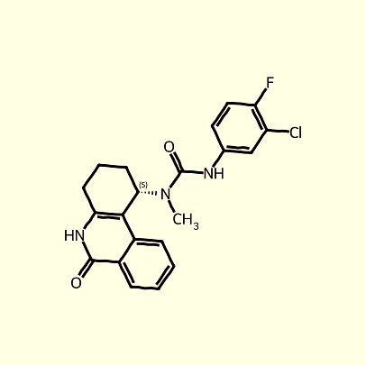 CN(C(=O)Nc1ccc(F)c(Cl)c1)[C@H]1CCCc2[nH]c(=O)c3ccccc3c21